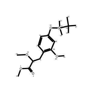 COC(=O)C(Cc1ccc(O[Si](C)(C)C(C)(C)C)cc1OC)OC